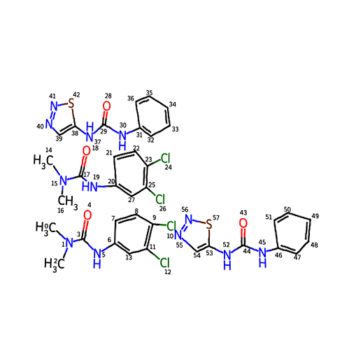 CN(C)C(=O)Nc1ccc(Cl)c(Cl)c1.CN(C)C(=O)Nc1ccc(Cl)c(Cl)c1.O=C(Nc1ccccc1)Nc1cnns1.O=C(Nc1ccccc1)Nc1cnns1